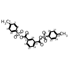 Cc1ccc(S(=O)(=O)OC(=O)c2cccc(C(=O)OS(=O)(=O)c3ccc(C)cc3)c2)cc1